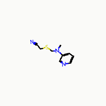 CN(CSCC#N)c1cccnc1